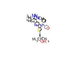 [2H]C([2H])([2H])c1nnn(C)c1-c1cnc2c3sc(C#CC(C)(C)O)cc3n([C@H](c3ccccc3)C3CCOCC3)c2c1